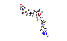 Nc1ccc(/C=C/C(=O)NCc2cc3cc(-c4ccc(C(=O)N5CC6CC5CO6)cn4)cc(C(F)(F)F)c3o2)cn1